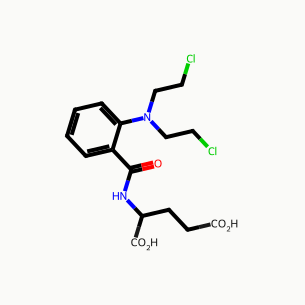 O=C(O)CCC(NC(=O)c1ccccc1N(CCCl)CCCl)C(=O)O